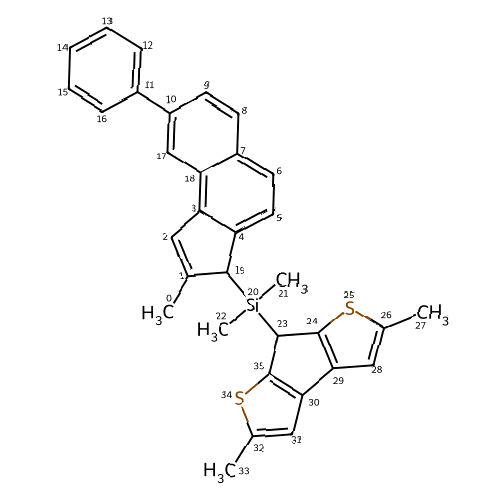 CC1=Cc2c(ccc3ccc(-c4ccccc4)cc23)C1[Si](C)(C)C1c2sc(C)cc2-c2cc(C)sc21